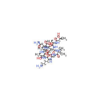 CCC(C)C(NC(=O)C(NC(=O)C(C)NC(=O)CC(C)O)C(C)C)C(=O)NCC(=O)NC(CCCCN)C(=O)NC(C(=O)NC(C)C(=O)NC(CCC(N)=O)C(=O)O)C(C)O